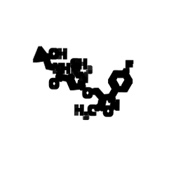 Cc1onc(-c2ccc(F)cc2)c1COc1cc(C(=O)NCC2(O)CC2)n(C)n1